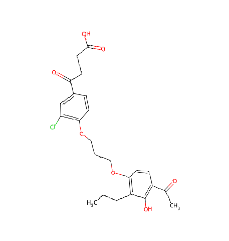 CCCc1c(OCCCOc2ccc(C(=O)CCC(=O)O)cc2Cl)ccc(C(C)=O)c1O